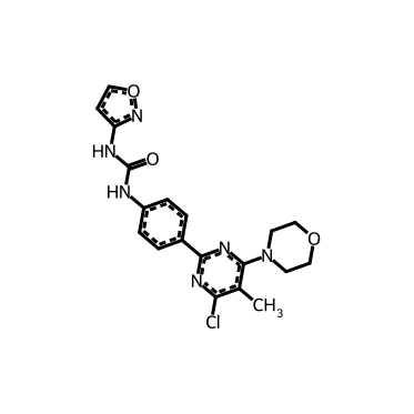 Cc1c(Cl)nc(-c2ccc(NC(=O)Nc3ccon3)cc2)nc1N1CCOCC1